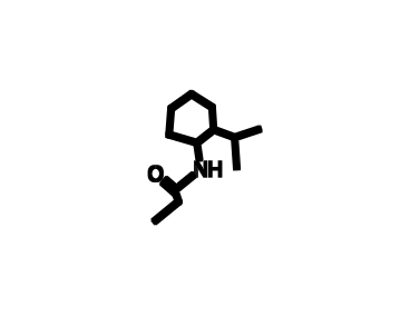 CCC(=O)NC1CCCCC1C(C)C